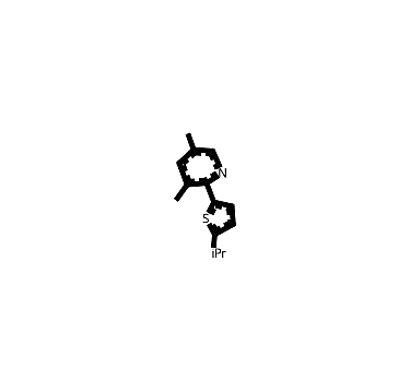 Cc1cnc(-c2ccc(C(C)C)s2)c(C)c1